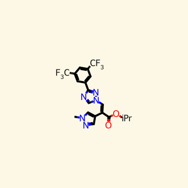 CC(C)OC(=O)C(=Cn1cnc(-c2cc(C(F)(F)F)cc(C(F)(F)F)c2)n1)c1cnn(C)c1